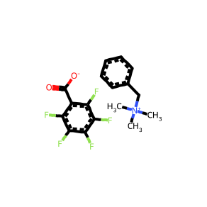 C[N+](C)(C)Cc1ccccc1.O=C([O-])c1c(F)c(F)c(F)c(F)c1F